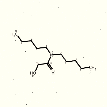 CCCCCN(CCCCC)C(=O)CO